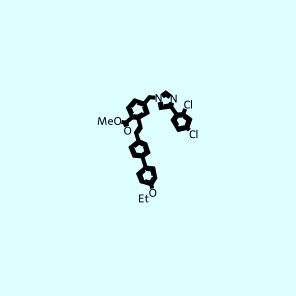 CCOc1ccc(-c2ccc(C=Cc3cc(Cn4cnc(-c5ccc(Cl)cc5Cl)c4)ccc3C(=O)OC)cc2)cc1